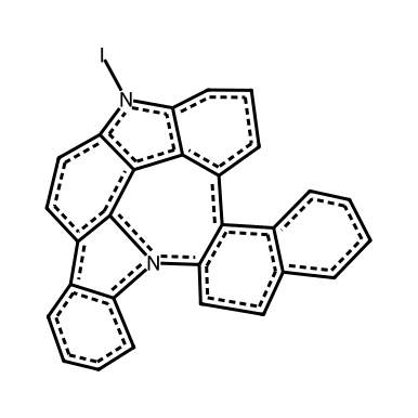 In1c2cccc3c2c2c1ccc1c4ccccc4n(c4ccc5ccccc5c34)c12